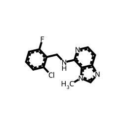 Cn1cnc2ccnc(NCc3c(F)cccc3Cl)c21